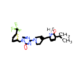 C=C(C)c1ccc(C2=CCN(c3ncn(Cc4ccc(C(F)(F)F)s4)c(=O)n3)CC2)nc1OC